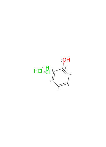 Cl.Cl.Oc1ccccc1